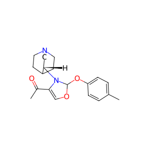 CC(=O)C1=COC(Oc2ccc(C)cc2)N1[C@H]1CN2CCC1CC2